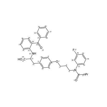 CCCC(=O)N(CCCOc1ccc(CC(Nc2ccccc2C(=O)c2ccccc2)C(=O)O)cc1)c1cccc(F)c1